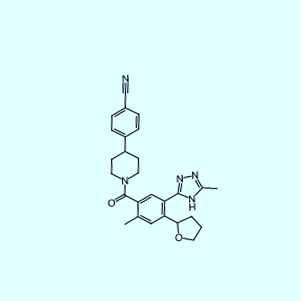 Cc1nnc(-c2cc(C(=O)N3CCC(c4ccc(C#N)cc4)CC3)c(C)cc2C2CCCO2)[nH]1